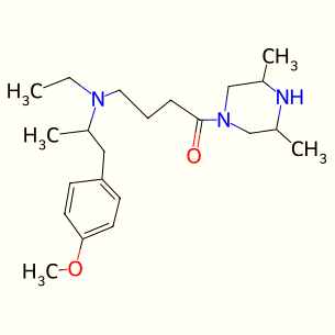 CCN(CCCC(=O)N1CC(C)NC(C)C1)C(C)Cc1ccc(OC)cc1